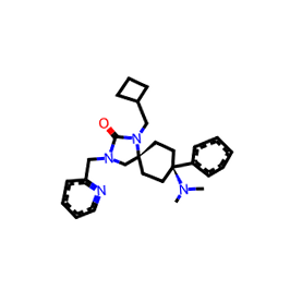 CN(C)[C@]1(c2ccccc2)CC[C@@]2(CC1)CN(Cc1ccccn1)C(=O)N2CC1CCC1